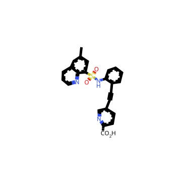 Cc1cc(S(=O)(=O)Nc2ccccc2C#Cc2ccc(C(=O)O)nc2)c2ncccc2c1